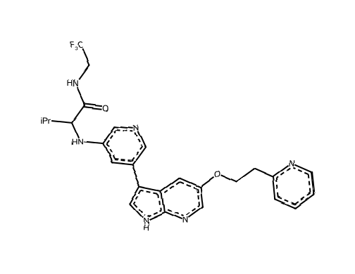 CC(C)C(Nc1cncc(-c2c[nH]c3ncc(OCCc4ccccn4)cc23)c1)C(=O)NCC(F)(F)F